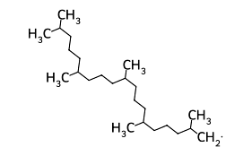 [CH2]C(C)CCCC(C)CCCC(C)CCCC(C)CCCC(C)C